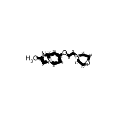 Cc1cn2ccc(OCCN3CCOCC3)cc2n1